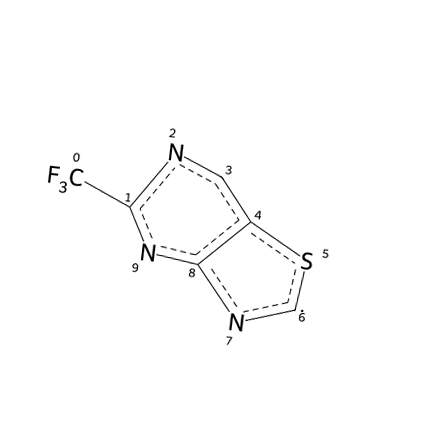 FC(F)(F)c1ncc2s[c]nc2n1